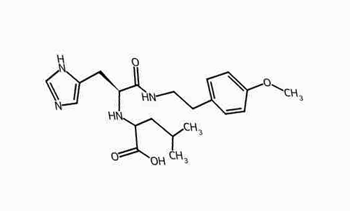 COc1ccc(CCNC(=O)[C@H](Cc2cnc[nH]2)NC(CC(C)C)C(=O)O)cc1